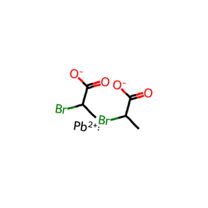 CC(Br)C(=O)[O-].CC(Br)C(=O)[O-].[Pb+2]